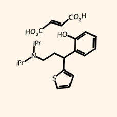 CC(C)N(CCC(c1cccs1)c1ccccc1O)C(C)C.O=C(O)C=CC(=O)O